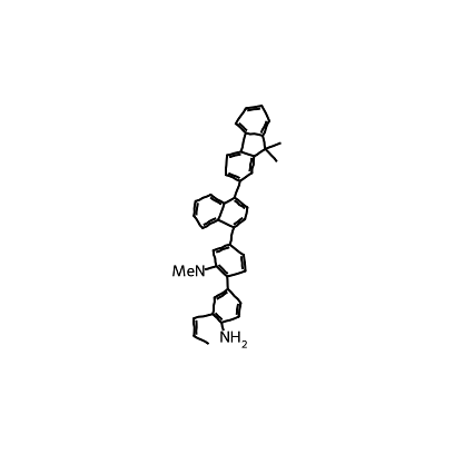 C/C=C\c1cc(-c2ccc(-c3ccc(-c4ccc5c(c4)C(C)(C)c4ccccc4-5)c4ccccc34)cc2NC)ccc1N